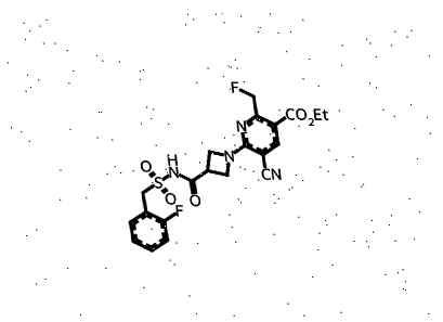 CCOC(=O)c1cc(C#N)c(N2CC(C(=O)NS(=O)(=O)Cc3ccccc3F)C2)nc1CF